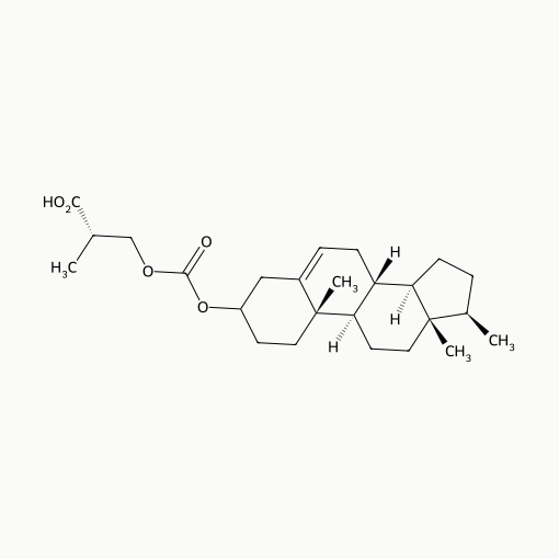 C[C@@H]1CC[C@@H]2[C@H]3CC=C4CC(OC(=O)OC[C@H](C)C(=O)O)CC[C@@]4(C)[C@@H]3CC[C@@]12C